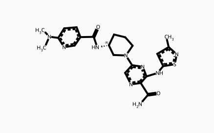 Cc1cc(Nc2nc(N3CCC[C@@H](NC(=O)c4ccc(N(C)C)nc4)C3)cnc2C(N)=O)sn1